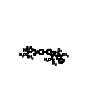 Cc1c(-c2[nH]c3ccc(C4CCN(C(=O)CN(C)CC(O)N(C)C)CC4)cc3c2C(C)C)cn2ncnc2c1C